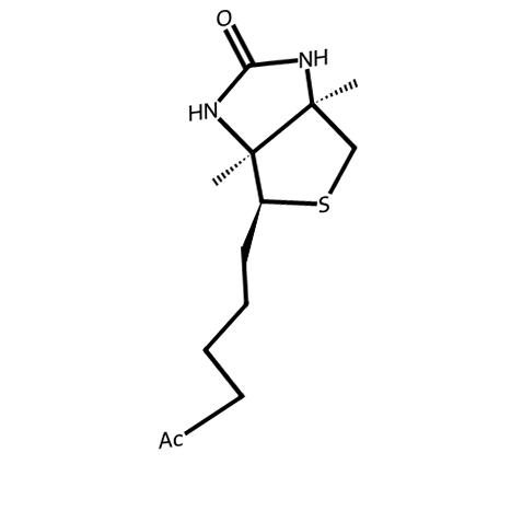 CC(=O)CCCC[C@@H]1SC[C@]2(C)NC(=O)N[C@]12C